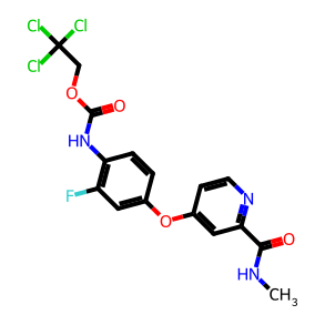 CNC(=O)c1cc(Oc2ccc(NC(=O)OCC(Cl)(Cl)Cl)c(F)c2)ccn1